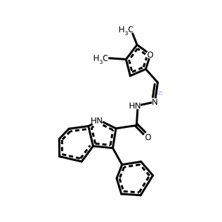 Cc1cc(/C=N\NC(=O)c2[nH]c3ccccc3c2-c2ccccc2)oc1C